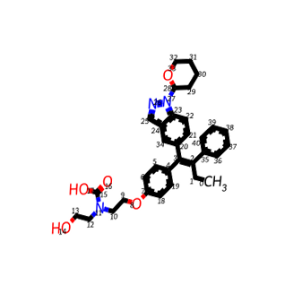 CCC(=C(c1ccc(OCCN(CCO)C(=O)O)cc1)c1ccc2c(cnn2C2CCCCO2)c1)c1ccccc1